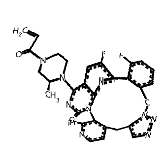 C=CC(=O)N1CCN(c2nc(=O)n3c4nc(c(F)cc24)-c2c(F)cccc2Cn2nncc2Cc2ccnc(C(C)C)c2-3)[C@@H](C)C1